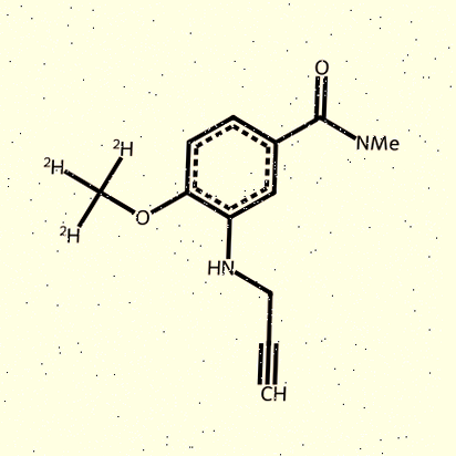 [2H]C([2H])([2H])Oc1ccc(C(=O)NC)cc1NCC#C